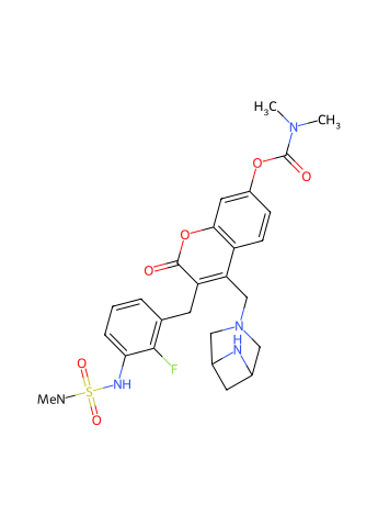 CNS(=O)(=O)Nc1cccc(Cc2c(CN3CC4CC(C3)N4)c3ccc(OC(=O)N(C)C)cc3oc2=O)c1F